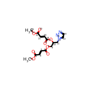 COC(=O)/C=C/C(=O)OCC(Cn1ccnn1)OC(=O)/C=C/C(=O)OC